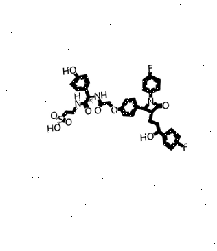 O=C(COc1ccc(C2C(CCC(O)c3ccc(F)cc3)C(=O)N2c2ccc(F)cc2)cc1)N[C@@H](C(=O)NCCS(=O)(=O)O)c1ccc(O)cc1